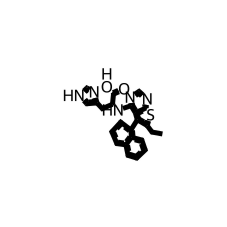 CCc1sc2ncnc(NC(Cc3c[nH]cn3)C(=O)O)c2c1-c1cccc2ccccc12